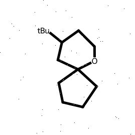 CC(C)(C)C1CCOC2(CCCC2)C1